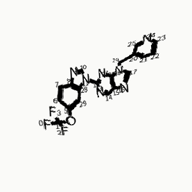 FC(F)(F)Oc1ccc2ncn(-c3ncc4ncn(Cc5cccnc5)c4n3)c2c1